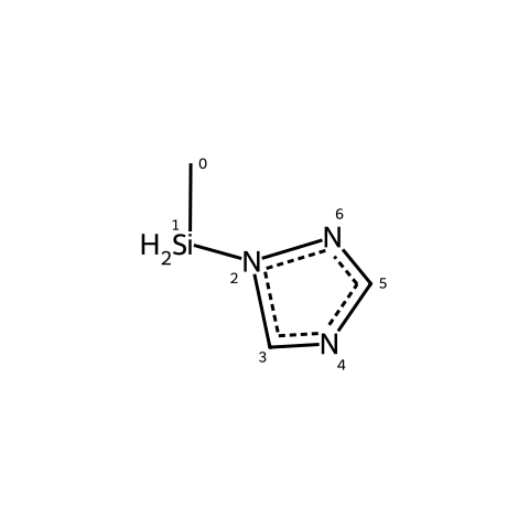 C[SiH2]n1cncn1